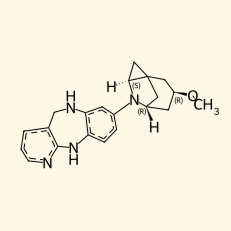 CO[C@H]1C[C@H]2CC3(C1)C[C@@H]3N2c1ccc2c(c1)NCc1cccnc1N2